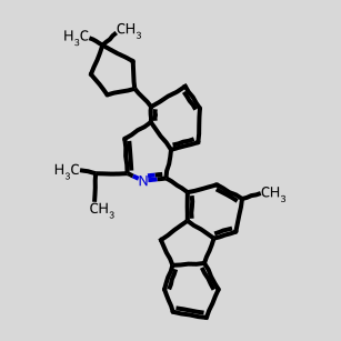 Cc1cc2c(c(-c3nc(C(C)C)cc4c(C5CCC(C)(C)C5)cccc34)c1)Cc1ccccc1-2